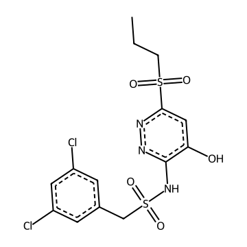 CCCS(=O)(=O)c1cc(O)c(NS(=O)(=O)Cc2cc(Cl)cc(Cl)c2)nn1